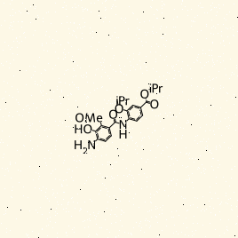 COc1c(C(=O)Nc2ccc(C(=O)OC(C)C)cc2OC(C)C)ccc(N)c1O